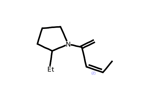 C=C(/C=C\C)N1CCCC1CC